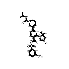 CC(C)OC(=O)N1CCC=C(c2ccc(C(=O)NS(=O)(=O)c3cccc(N)n3)c(N3C[C@@H](C)CC3(C)C)n2)C1